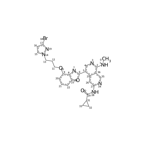 CNc1ncc(-c2nc3c(OCCCn4ccc(Br)n4)cccc3o2)c2cc(NC(=O)C3CC3)ncc12